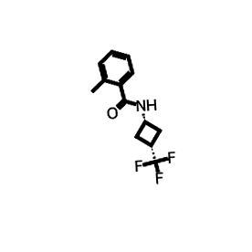 Cc1ccccc1C(=O)N[C@H]1C[C@@H](C(F)(F)F)C1